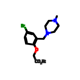 CCOC(=O)COc1ccc(Br)cc1CN1CCN(C)CC1